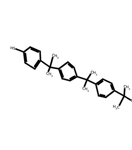 CC(C)(I)c1ccc(C(C)(C)c2ccc(C(C)(C)c3ccc(S)cc3)cc2)cc1